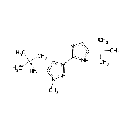 Cn1nc(-c2ncc(C(C)(C)C)[nH]2)cc1NC(C)(C)C